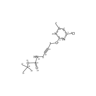 Cc1cc(Cl)nc(OCC#CCNC(=O)OC(C)(C)C)n1